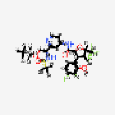 COc1c(C2C(C(=O)Nc3ccnc(C(CO[Si](C)(C)C(C)(C)C)N[S+]([O-])C(C)(C)C)c3)OC(C)(C(F)(F)F)C2C)ccc(F)c1F